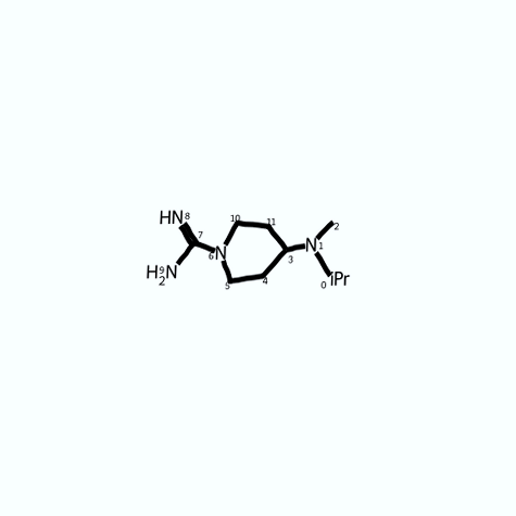 CC(C)N(C)C1CCN(C(=N)N)CC1